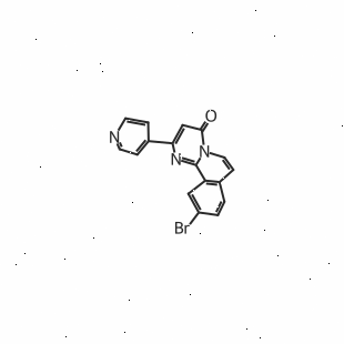 O=c1cc(-c2ccncc2)nc2c3cc(Br)ccc3ccn12